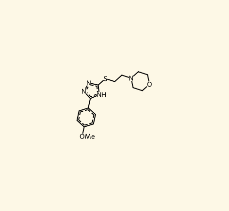 COc1ccc(-c2nnc(SCCN3CCOCC3)[nH]2)cc1